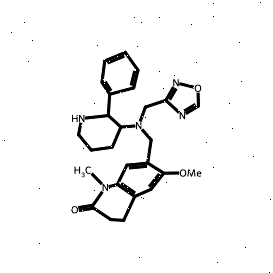 COc1cc2c(cc1CN(Cc1ncon1)C1CCCNC1c1ccccc1)N(C)C(=O)CC2